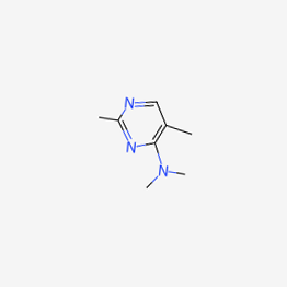 Cc1ncc(C)c(N(C)C)n1